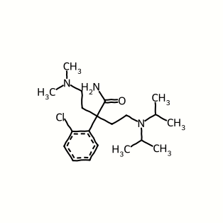 CC(C)N(CCC(CCN(C)C)(C(N)=O)c1ccccc1Cl)C(C)C